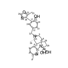 Cc1cccc(N2[C@@]3(CCN(Cc4ccc(O)c(-c5ncoc5C)c4)[C@@H](C)C3)CCS2(O)O)n1